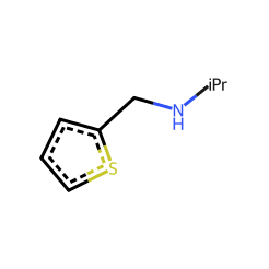 CC(C)NCc1cccs1